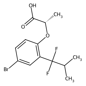 CC(C)C(F)(F)c1cc(Br)ccc1O[C@@H](C)C(=O)O